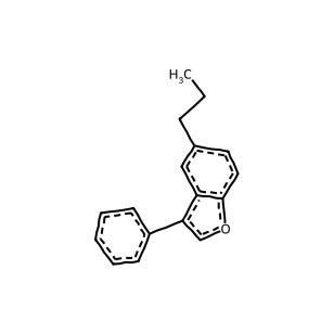 CCCc1ccc2occ(-c3ccccc3)c2c1